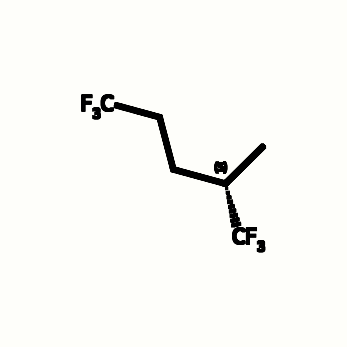 C[C@@H](CCC(F)(F)F)C(F)(F)F